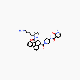 Cn1cccc(C(=O)NC2CCN(C(=O)[C@H]3CC[C@@](C(=O)NC(CCCCN)C(=O)O)(c4ccccc4)c4ccccc43)CC2)c1=O